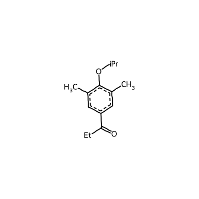 CCC(=O)c1cc(C)c(OC(C)C)c(C)c1